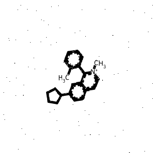 Cc1ccccc1-c1c2cc(C3CCCC3)ccc2cc[n+]1C